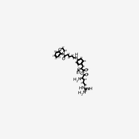 CCOC(Cc1ccc(NCCCCC(=O)N2CCOc3ccccc32)cc1)C(=O)OC(=O)[C@@H](N)CCCNC(=N)N